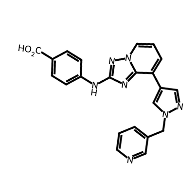 O=C(O)c1ccc(Nc2nc3c(-c4cnn(Cc5cccnc5)c4)cccn3n2)cc1